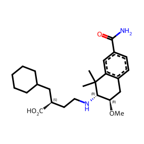 CO[C@@H]1Cc2ccc(C(N)=O)cc2C(C)(C)[C@H]1NCC[C@H](CC1CCCCC1)C(=O)O